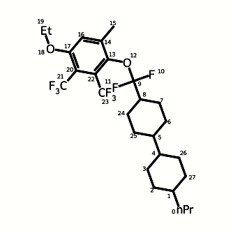 CCCC1CCC(C2CCC(C(F)(F)Oc3c(C)cc(OCC)c(C(F)(F)F)c3C(F)(F)F)CC2)CC1